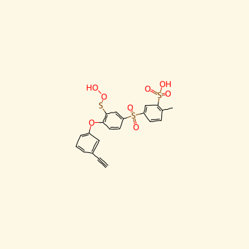 C#Cc1cccc(Oc2ccc(S(=O)(=O)c3ccc(C)c(S(=O)(=O)O)c3)cc2SOO)c1